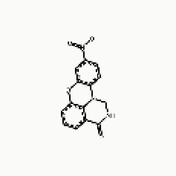 O=C1NCN2c3ccc([N+](=O)[O-])cc3Oc3cccc1c32